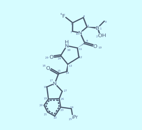 CB(O)[C@@H]1CC(F)CN1C(=O)[C@@H]1C[C@@H](CC(=O)N2Cc3cccc(CC(C)C)c3C2)C(=O)N1